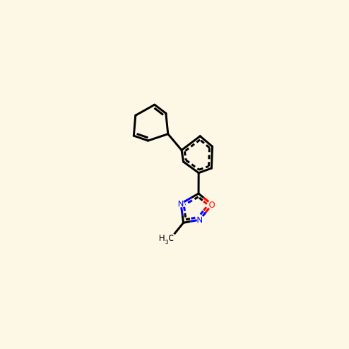 Cc1noc(-c2cccc(C3C=CCC=C3)c2)n1